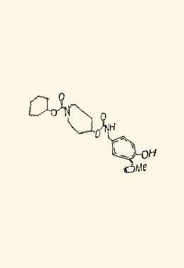 COc1cc(CNC(=O)OC2CCN(C(=O)OC3CCCCC3)CC2)ccc1O